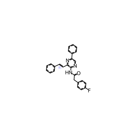 O=C(Cc1ccc(F)cc1)Nc1ncc(-c2ccccc2)nc1/C=C/c1ccccc1